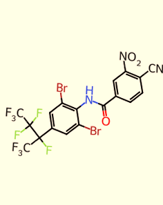 N#Cc1ccc(C(=O)Nc2c(Br)cc(C(F)(C(F)(F)F)C(F)(F)C(F)(F)F)cc2Br)cc1[N+](=O)[O-]